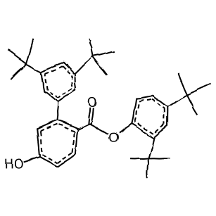 CC(C)(C)c1cc(-c2cc(O)ccc2C(=O)Oc2ccc(C(C)(C)C)cc2C(C)(C)C)cc(C(C)(C)C)c1